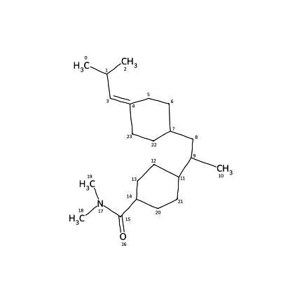 CC(C)C=C1CCC(CC(C)C2CCC(C(=O)N(C)C)CC2)CC1